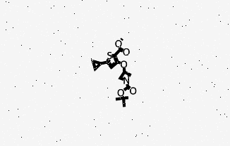 COC(=O)c1sc(C2CC2)cc1OC1CN(C(=O)OC(C)(C)C)C1